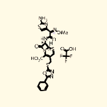 CO/N=C(\C(=O)N[C@@H]1C(=O)N2C(C(=O)O)=C(CSc3nnc(-c4ccccc4)o3)CS[C@H]12)c1csc(N)n1.O=C(O)C(F)(F)F